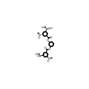 O=C(Oc1cccc(OC(=O)c2cc(B(O)O)cc([N+](=O)[O-])c2)c1)c1cc(BO)cc([N+](=O)[O-])c1